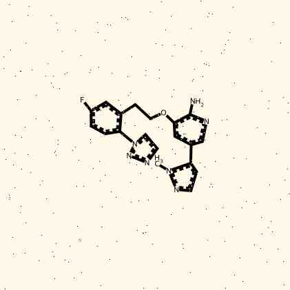 Cn1nccc1-c1cnc(N)c(OCCc2cc(F)ccc2-n2ccnn2)c1